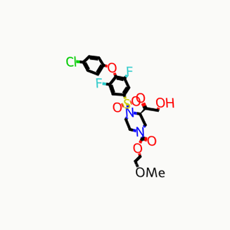 COCCOC(=O)N1CCN(S(=O)(=O)c2cc(F)c(Oc3ccc(Cl)cc3)c(F)c2)[C@@H](C(=O)CO)C1